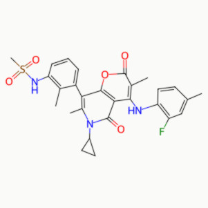 Cc1ccc(Nc2c(C)c(=O)oc3c(-c4cccc(NS(C)(=O)=O)c4C)c(C)n(C4CC4)c(=O)c23)c(F)c1